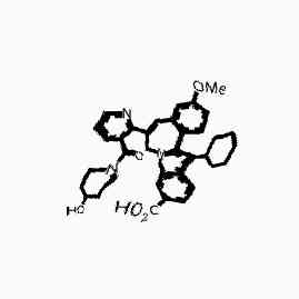 COc1ccc2c(c1)C=C(c1ncccc1C(=O)N1CCC(O)CC1)Cn1c-2c(C2CCCCC2)c2ccc(C(=O)O)cc21